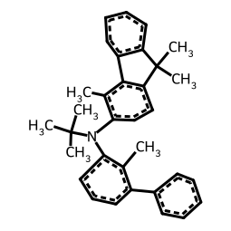 Cc1c(-c2ccccc2)cccc1N(c1ccc2c(c1C)-c1ccccc1C2(C)C)C(C)(C)C